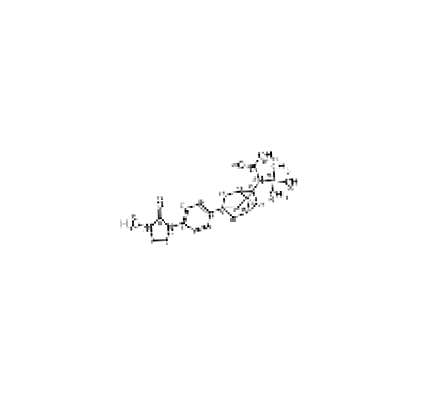 CN1CCN(c2ccc(C34CC5CC(C3)C(N(C(=O)O)C(C)(C)C)(C5)C4)cc2)C1=O